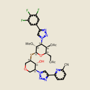 CO[C@@H]1[C@@H](n2cc(-c3cc(F)c(F)c(F)c3)nn2)[C@@H](OC(C)=O)[C@@H](COC(C)=O)O[C@H]1S[C@@H]1COC[C@H](n2cc(-c3cccc(C#N)n3)nn2)[C@H]1O